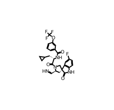 N=C[C@@H]1C[C@@]2(CN1C(=O)[C@H](CC1CC1)NC(=O)c1cccc(OC(F)(F)F)c1)C(=O)Nc1ccc(F)cc12